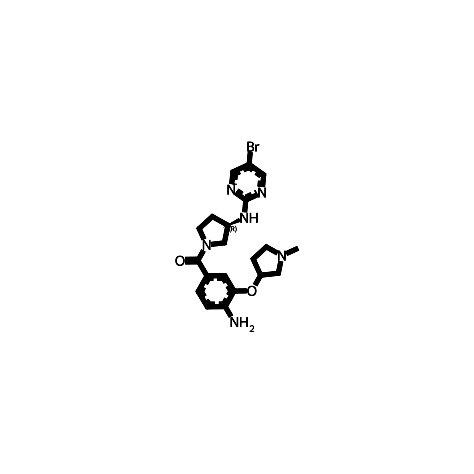 CN1CCC(Oc2cc(C(=O)N3CC[C@@H](Nc4ncc(Br)cn4)C3)ccc2N)C1